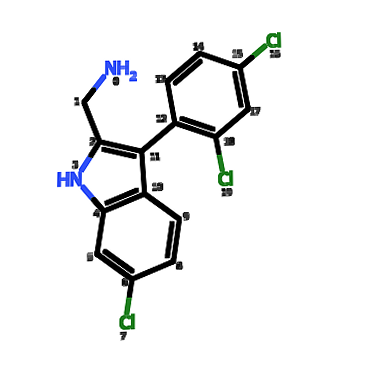 NCc1[nH]c2cc(Cl)ccc2c1-c1ccc(Cl)cc1Cl